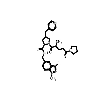 Cn1nc(Cl)c2cc(CNC(=O)C3CC(Cc4ccncc4)CN3C(=O)C(N)CCC(=O)N3CCCC3)ccc21